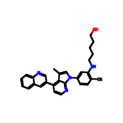 Cc1cn(-c2ccc(C#N)c(NCCCCCO)c2)c2nccc(-c3cnc4ccccc4c3)c12